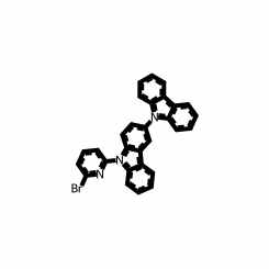 Brc1cccc(-n2c3ccccc3c3cc(-n4c5ccccc5c5ccccc54)ccc32)n1